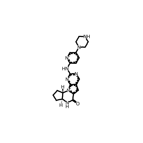 O=C1N[C@H]2CCC[C@@H]2n2c1cc1cnc(Nc3ccc(N4CCNCC4)cn3)nc12